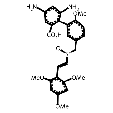 COc1cc(OC)c(C=C[S+]([O-])Cc2ccc(OC)c(-c3c(N)cc(N)cc3C(=O)O)c2)c(OC)c1